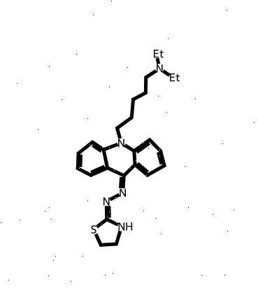 CCN(CC)CCCCCn1c2ccccc2c(=NN=C2NCCS2)c2ccccc21